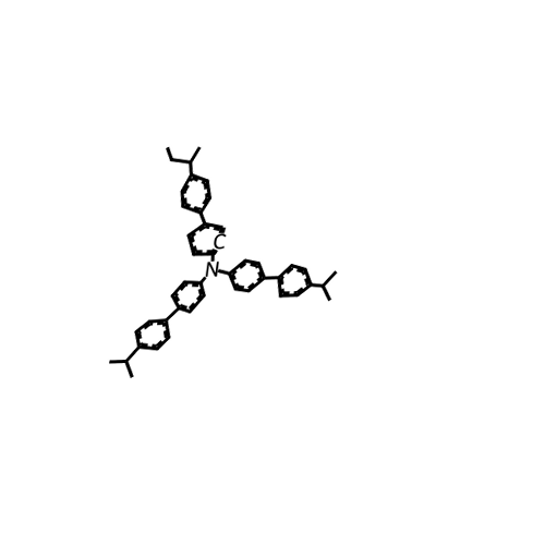 CCC(C)c1ccc(-c2ccc(N(c3ccc(-c4ccc(C(C)C)cc4)cc3)c3ccc(-c4ccc(C(C)C)cc4)cc3)cc2)cc1